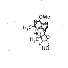 COc1nc(C)nc2c1ncn2[C@H]1O[C@H](CO)[C@@H](F)[C@]1(C)O